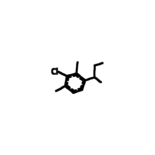 CCC(C)c1ccc(C)c(Cl)c1C